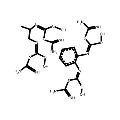 CC(CN=C(OO)SC(=N)N)N=C(OO)SC(=N)N.N=C(N)SC(=Nc1ccccc1N=C(OO)SC(=N)N)OO